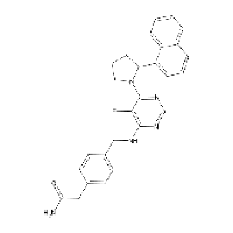 NC(=O)Cc1ccc(CNc2ncnc(N3CCCC3c3cccc4ccccc34)c2F)cc1